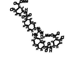 COC(=O)c1cc(NS(=O)(=O)c2ccc3ccc(N=C(N)Nc4ccc5ccc(S(=O)(=O)Nc6ccc(Cl)c(C(=O)OC)c6)cc5c4)cc3c2)ccc1Cl